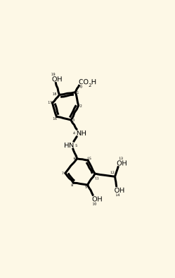 O=C(O)c1cc(NNC2C=CC(O)C(C(O)O)=C2)ccc1O